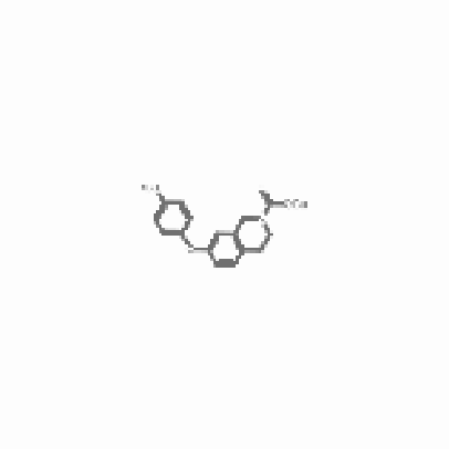 CC(C)COC(=O)N1CCc2ccc(Oc3ccc(C(C)(C)C)cc3)cc2C1